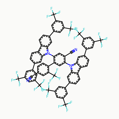 N#Cc1ccc(-c2cc(-n3c4cc(-c5cc(C(F)(F)F)cc(C(F)(F)F)c5)ccc4c4ccc(-c5cc(C(F)(F)F)cc(C(F)(F)F)c5)cc43)c(C#N)cc2-n2c3cc(-c4cc(C(F)(F)F)cc(C(F)(F)F)c4)ccc3c3ccc(-c4cc(C(F)(F)F)cc(C(F)(F)F)c4)cc32)c(C(F)(F)F)c1